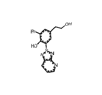 CC(C)c1cc(CCO)cc(-n2nc3cccnc3n2)c1O